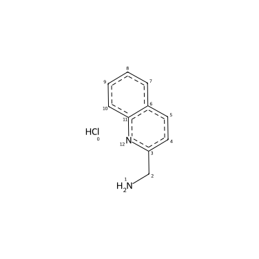 Cl.NCc1ccc2ccccc2n1